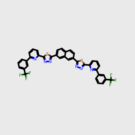 FC(F)(F)c1cccc(-c2cccc(-c3nnc(-c4ccc5ccc(-c6nnc(-c7cccc(-c8cccc(C(F)(F)F)c8)n7)s6)cc5c4)s3)n2)c1